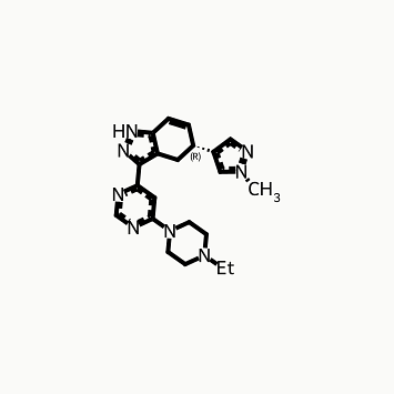 CCN1CCN(c2cc(-c3n[nH]c4c3C[C@@H](c3cnn(C)c3)C=C4)ncn2)CC1